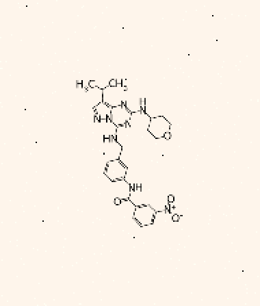 CC(C)c1cnn2c(NCc3cccc(NC(=O)c4cccc([N+](=O)[O-])c4)c3)nc(NC3CCOCC3)nc12